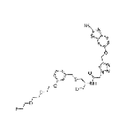 O=C[C@@H](CSCc1cccc(OCCOCCOCCF)c1)NC(=O)Cn1cc(COc2ccc3nc(S)sc3c2)nn1